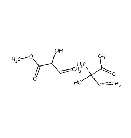 C=CC(C)(O)C(=O)O.C=CC(O)C(=O)OC